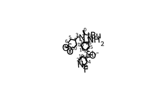 C=C(N(CC1CCS(=O)(=O)CC1)c1ccc([S+]([O-])c2ccnc(F)c2)cc1N)C(C)(C)C